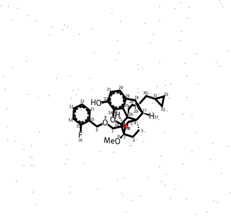 CO[C@]12CC[C@@]3(C[C@@H]1COCc1ccccc1F)[C@H]1Cc4ccc(O)c5c4[C@@]3(CCN1CC1CC1)[C@H]2O5